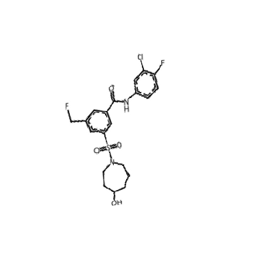 O=C(Nc1ccc(F)c(Cl)c1)c1cc(CF)cc(S(=O)(=O)N2CCCC(O)CC2)c1